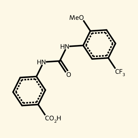 COc1ccc(C(F)(F)F)cc1NC(=O)Nc1cccc(C(=O)O)c1